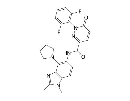 Cc1nc2c(N3CCCC3)c(NC(=O)c3ccc(=O)n(-c4c(F)cccc4F)n3)ccc2n1C